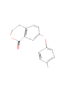 O=C1OCCc2ccc(Oc3ccc(Cl)cc3)cc21